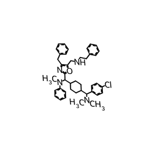 CN(C)C(c1ccc(Cl)cc1)C1CCC(C(c2nc(Cc3ccccc3)c(CNCCc3ccccc3)o2)N(C)c2ccccc2)CC1